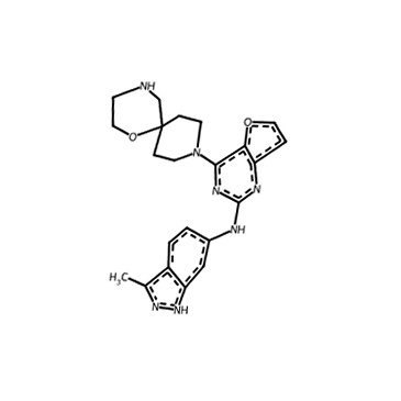 Cc1n[nH]c2cc(Nc3nc(N4CCC5(CC4)CNCCO5)c4occc4n3)ccc12